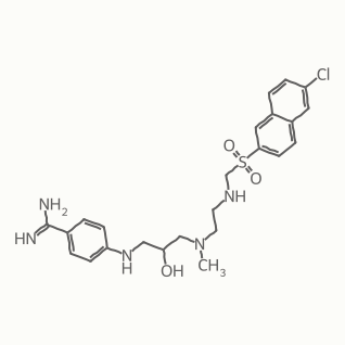 CN(CCNCS(=O)(=O)c1ccc2cc(Cl)ccc2c1)CC(O)CNc1ccc(C(=N)N)cc1